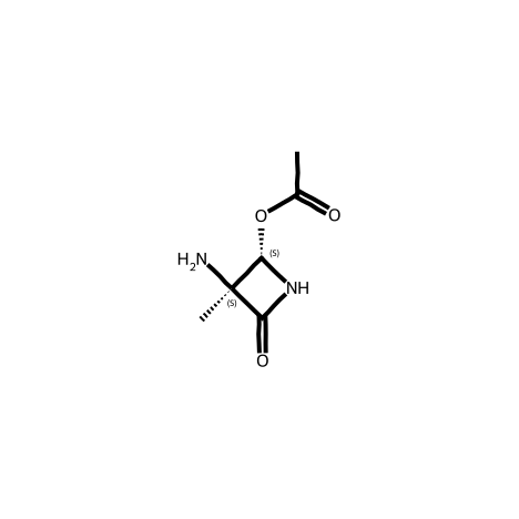 CC(=O)O[C@@H]1NC(=O)[C@@]1(C)N